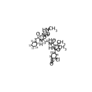 CNC(=O)CNC(=O)[C@H](Cc1ccccc1)NC(=O)CCNC(=O)[C@@H](NC(=O)c1ccc(B=O)c(Cl)c1)C(C)C